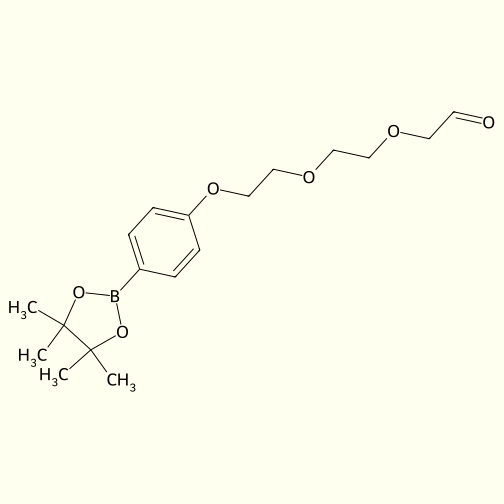 CC1(C)OB(c2ccc(OCCOCCOCC=O)cc2)OC1(C)C